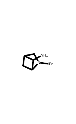 CC(C)N1CC2CC1C2N